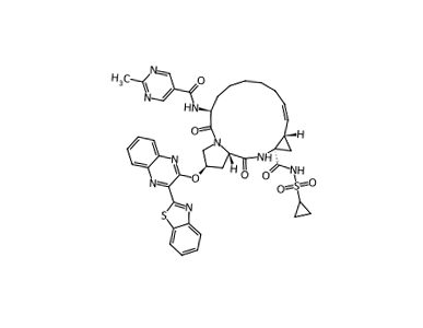 Cc1ncc(C(=O)N[C@H]2CCCCC/C=C\[C@@H]3C[C@@]3(C(=O)NS(=O)(=O)C3CC3)NC(=O)[C@@H]3C[C@@H](Oc4nc5ccccc5nc4-c4nc5ccccc5s4)CN3C2=O)cn1